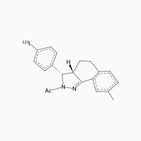 CC(=O)N1N=C2c3cc(C)ccc3CC[C@H]2[C@H]1c1ccc([123I])cc1